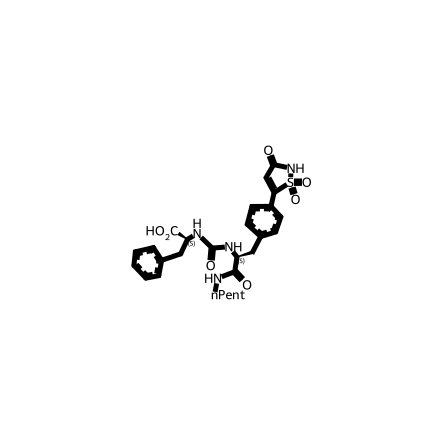 CCCCCNC(=O)[C@H](Cc1ccc(C2=CC(=O)NS2(=O)=O)cc1)NC(=O)N[C@@H](Cc1ccccc1)C(=O)O